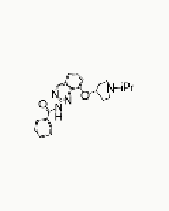 CC(C)N1CCC(Oc2cccc3cnc(NC(=O)c4ccccc4)nc23)CC1